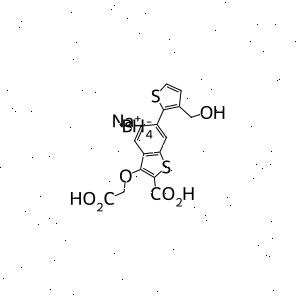 O=C(O)COc1c(C(=O)O)sc2cc(-c3sccc3CO)ccc12.[BH4-].[Na+]